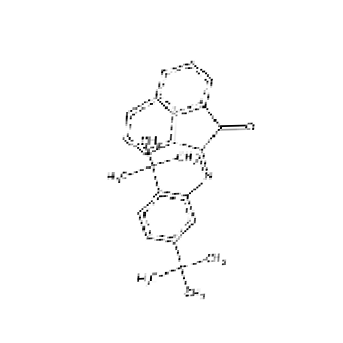 CC(C)(C)c1ccc(C(C)(C)C)c(/N=C2/C(=O)c3cccc4cccc2c34)c1